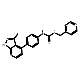 Cc1n[nH]c2nccc(-c3ccc(NC(=O)NCc4ccncc4)cc3)c12